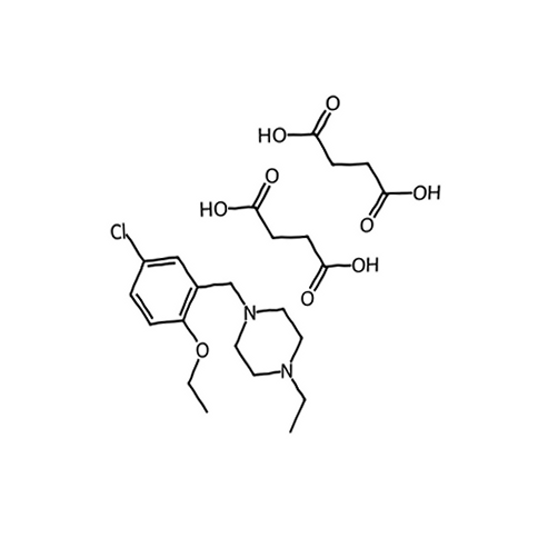 CCOc1ccc(Cl)cc1CN1CCN(CC)CC1.O=C(O)CCC(=O)O.O=C(O)CCC(=O)O